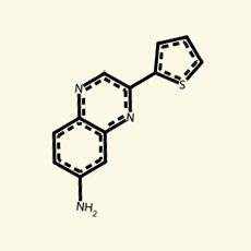 Nc1ccc2n[c]c(-c3cccs3)nc2c1